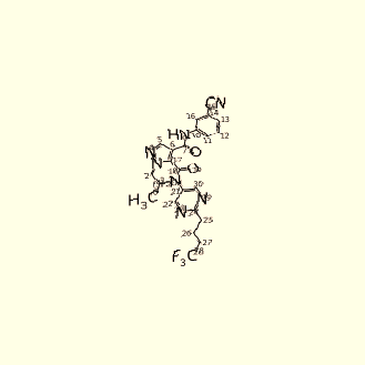 C[C@H]1Cn2ncc(C(=O)Nc3cccc(C#N)c3)c2C(=O)N1c1cnc(CCCC(F)(F)F)nc1